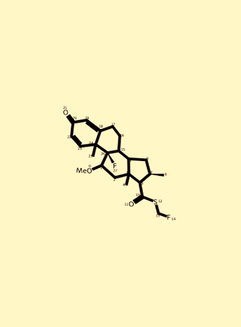 COC1CC2(C)C(C[C@@H](C)C2C(=O)SCF)C2CCC3=CC(=O)C=CC3(C)[C@@]12F